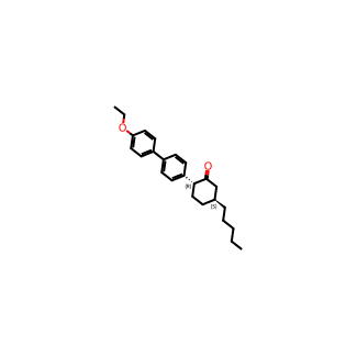 CCCCC[C@H]1CC[C@H](c2ccc(-c3ccc(OCC)cc3)cc2)C(=O)C1